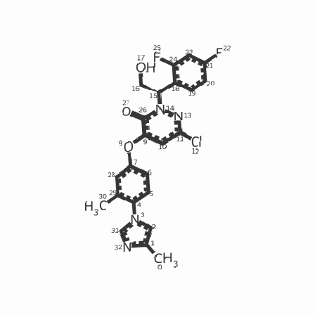 Cc1cn(-c2ccc(Oc3cc(Cl)nn([C@@H](CO)c4ccc(F)cc4F)c3=O)cc2C)cn1